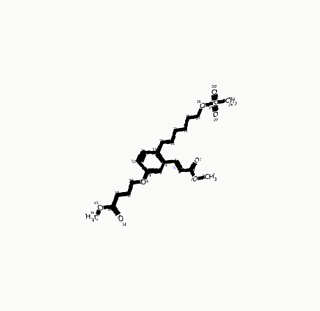 COC(=O)/C=C/c1cc(OCCCC(=O)OC)ccc1CCCCCCOS(C)(=O)=O